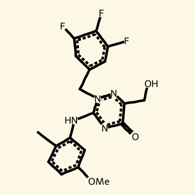 COc1ccc(C)c(Nc2nc(=O)c(CO)nn2Cc2cc(F)c(F)c(F)c2)c1